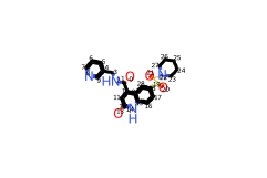 O=C(NCc1cccnc1)c1cc(=O)[nH]c2ccc(S(=O)(=O)N3CCCCC3)cc12